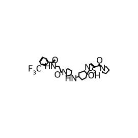 O=C(NCC(=O)N1CCC(NC2CCC(O)(c3ncc(C(=O)N4CCCC4)s3)CC2)C1)c1cccc(C(F)(F)F)c1